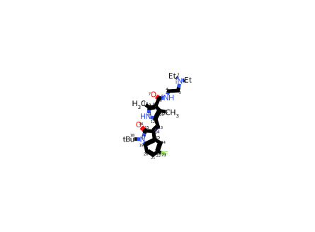 CCN(CC)CCNC(=O)c1c(C)[nH]c(/C=C2\C(=O)N(C(C)(C)C)c3ccc(F)cc32)c1C